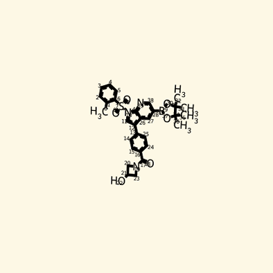 Cc1ccccc1S(=O)(=O)n1cc(-c2ccc(C(=O)N3CC(O)C3)cc2)c2cc(B3OC(C)(C)C(C)(C)O3)cnc21